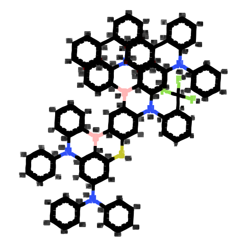 FC(F)(F)c1ccccc1N1c2cc3c(cc2B2c4ccccc4N(c4ccccc4-c4ccccc4)c4cc(N(c5ccccc5)c5ccccc5-c5ccccc5)cc1c42)B1c2ccccc2N(c2ccccc2)c2cc(N(c4ccccc4)c4ccccc4)cc(c21)S3